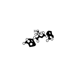 O=C(CC(C(=O)OC1C2OC(=O)C3CC4C1C4C32)S(=O)(=O)O)OC1C2CC3C(=O)OC1C3C2